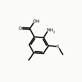 CSc1cc(C)cc(C(=O)O)c1N